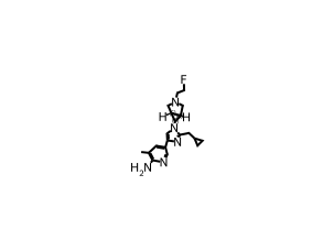 Cc1cc(-c2cn([C@H]3[C@@H]4CN(CCF)C[C@@H]43)c(CC3CC3)n2)cnc1N